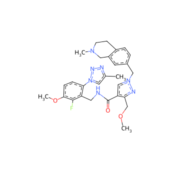 COCc1nn(Cc2ccc3c(c2)CN(C)CC3)cc1C(=O)NCc1c(-n2cc(C)nn2)ccc(OC)c1F